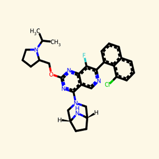 CC(C)N1CCCC1COc1nc(N2C[C@H]3CC[C@@H](C2)N3)c2cnc(-c3cccc4cccc(Cl)c34)c(F)c2n1